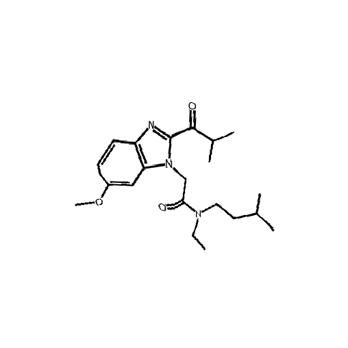 CCN(CCC(C)C)C(=O)Cn1c(C(=O)C(C)C)nc2ccc(OC)cc21